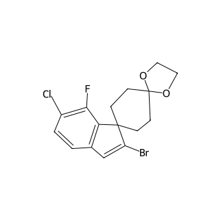 Fc1c(Cl)ccc2c1C1(CCC3(CC1)OCCO3)C(Br)=C2